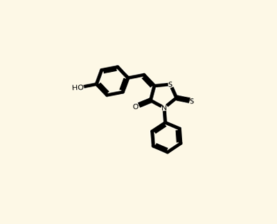 O=C1/C(=C\c2ccc(O)cc2)SC(=S)N1c1ccccc1